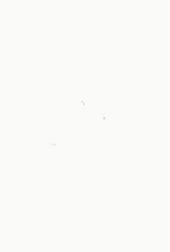 CCC(=O)C1=CCO1